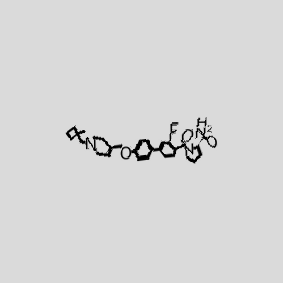 CC1(CN2CCC(COc3ccc(-c4ccc(C(=O)N5CCC[C@H]5C(N)=O)c(F)c4)cc3)CC2)CCC1